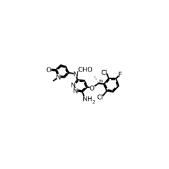 C[C@@H](Oc1cc(N(C=O)c2ccc(=O)n(C)c2)nnc1N)c1c(Cl)ccc(F)c1Cl